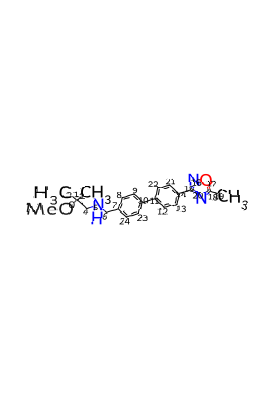 COC(C)(C)CNCc1ccc(-c2ccc(-c3noc(C)n3)cc2)cc1